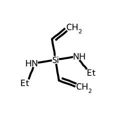 C=C[Si](C=C)(NCC)NCC